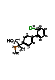 CCC(SC(C)=O)(C(=O)O)c1ccc(-c2ccccc2Cl)cc1